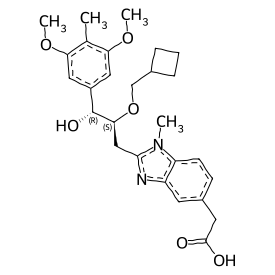 COc1cc([C@@H](O)[C@H](Cc2nc3cc(CC(=O)O)ccc3n2C)OCC2CCC2)cc(OC)c1C